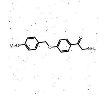 COc1ccc(COc2ccc(C(=O)CN)cc2)cc1